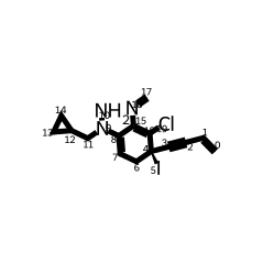 C=CC#C[C@]1(I)CC=C(N(N)CC2CC2)C(N=C)=C1Cl